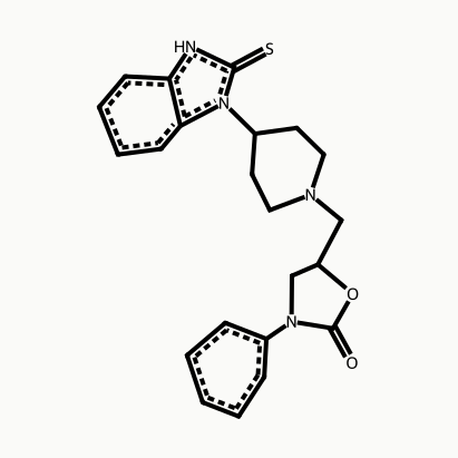 O=C1OC(CN2CCC(n3c(=S)[nH]c4ccccc43)CC2)CN1c1ccccc1